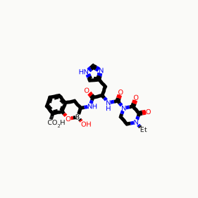 CCN1CCN(C(=O)NC(Cc2c[nH]cn2)C(=O)NC2Cc3cccc(C(=O)O)c3OB2O)C(=O)C1=O